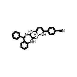 N#Cc1ccc(C2=CC=C(NC3N=C(c4ccccc4)c4ccccc4NC3=O)NN2)cc1